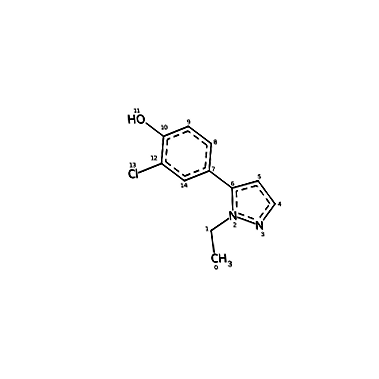 CCn1nccc1-c1ccc(O)c(Cl)c1